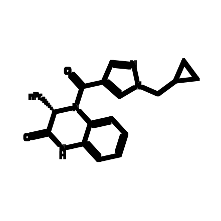 CCC[C@H]1C(=O)Nc2ccccc2N1C(=O)c1cnn(CC2CC2)c1